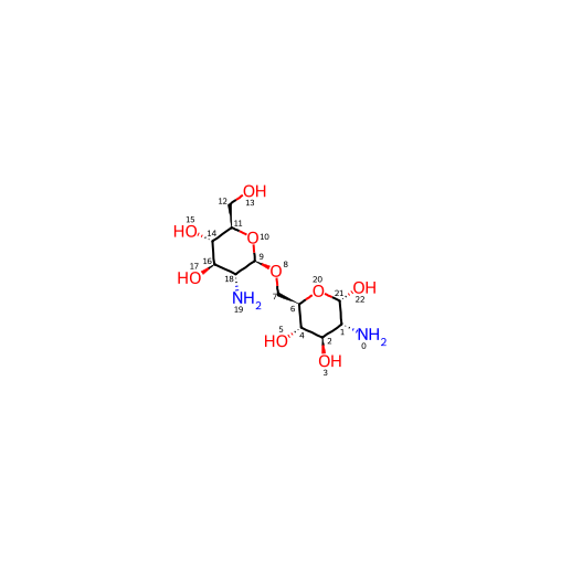 N[C@@H]1[C@@H](O)[C@H](O)[C@@H](CO[C@@H]2O[C@H](CO)[C@@H](O)[C@H](O)[C@H]2N)O[C@@H]1O